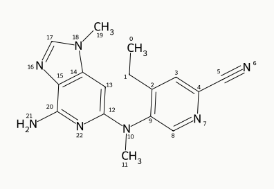 CCc1cc(C#N)ncc1N(C)c1cc2c(ncn2C)c(N)n1